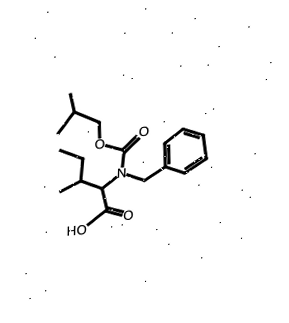 CCC(C)C(C(=O)O)N(Cc1ccccc1)C(=O)OCC(C)C